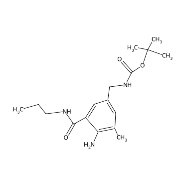 CCCNC(=O)c1cc(CNC(=O)OC(C)(C)C)cc(C)c1N